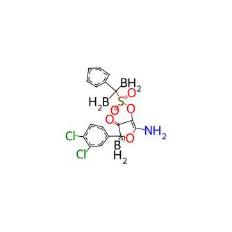 BC(B)(c1ccccc1)S(=O)(=O)OC1=C(N)O[C@@](B)(c2ccc(Cl)c(Cl)c2)C1=O